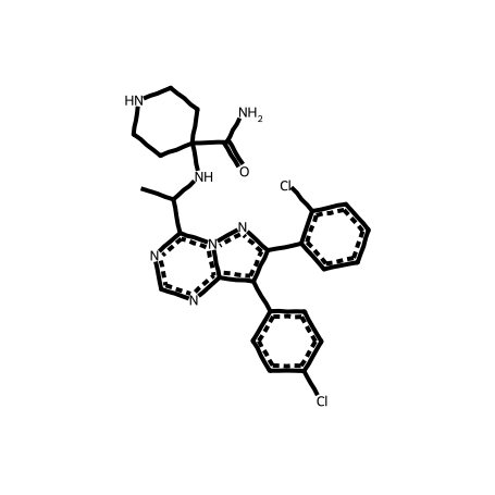 CC(NC1(C(N)=O)CCNCC1)c1ncnc2c(-c3ccc(Cl)cc3)c(-c3ccccc3Cl)nn12